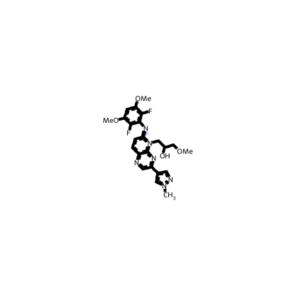 COCC(O)Cn1/c(=N/c2c(F)c(OC)cc(OC)c2F)ccc2ncc(-c3cnn(C)c3)nc21